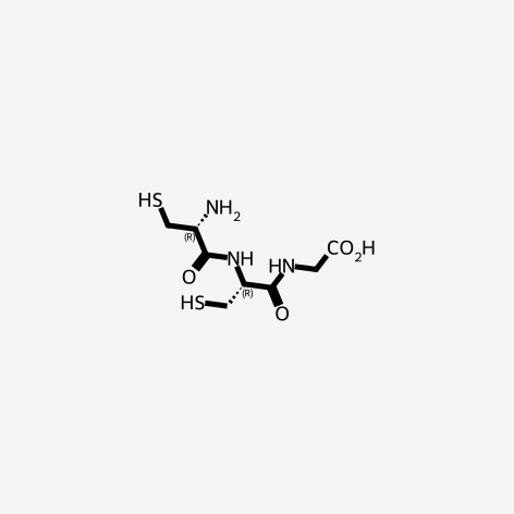 N[C@@H](CS)C(=O)N[C@@H](CS)C(=O)NCC(=O)O